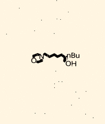 CCCC[C@@H](CO)CCCCCN1CCOCC1